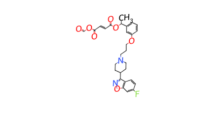 CC(OC(=O)/C=C/C(=O)OC=O)c1cccc(OCCCN2CCC(c3noc4cc(F)ccc34)CC2)c1